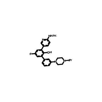 CC(=O)Nc1ccc(-c2cc(F)cc(-c3cccc(N4CCN(C(C)C)CC4)c3)c2O)cn1